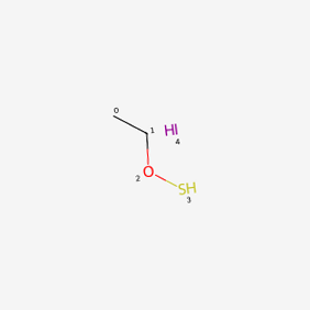 CCOS.I